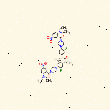 CCN(CC)c1ccc([N+](=O)[O-])cc1C(=O)N1CCN(c2ccc(C(C)C(=O)C(C)c3ccc(N4CCN(C(=O)c5cc([N+](=O)[O-])ccc5N(CC)CC)CC4)c(F)c3)cc2F)CC1